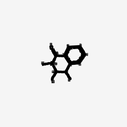 CC1c2ccccc2C(=O)N(C)C1C